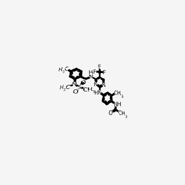 CC(=O)Nc1ccc(Nc2ncc(C(F)(F)F)c(NCc3ccc(C)cc3N(C)S(C)(=O)=O)n2)cc1C